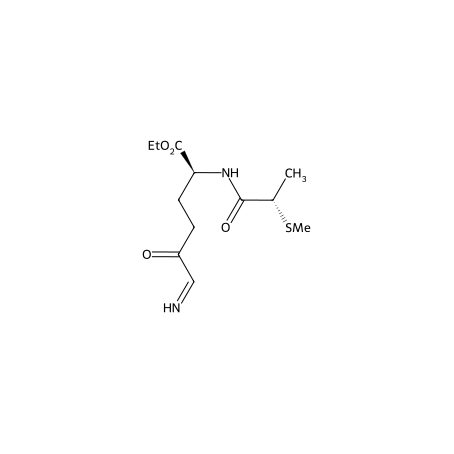 CCOC(=O)[C@H](CCC(=O)C=N)NC(=O)[C@H](C)SC